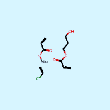 C=CC(=O)OCCCC.C=CC(=O)OCCCO.C=CCl